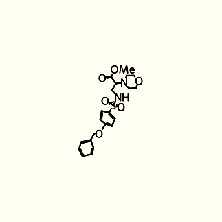 COC(=O)C(CNS(=O)(=O)c1ccc(OCc2ccccc2)cc1)N1CCOCC1